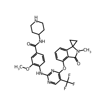 COc1cc(C(=O)NC2CCNCC2)ccc1Nc1ncc(C(F)(F)F)c(Oc2cccc3c2C(=O)N(C)C32CC2)n1